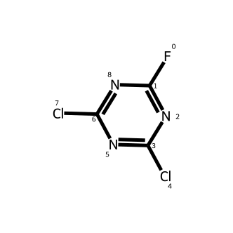 Fc1nc(Cl)nc(Cl)n1